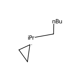 [CH2]CCCCC(C)C.[CH]1CC1